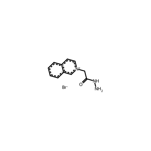 NNC(=O)C[n+]1ccc2ccccc2c1.[Br-]